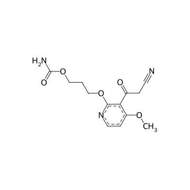 COc1ccnc(OCCCOC(N)=O)c1C(=O)CC#N